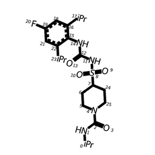 CC(C)NC(=O)N1CCC(S(=O)(=O)NC(=O)Nc2c(C(C)C)cc(F)cc2C(C)C)CC1